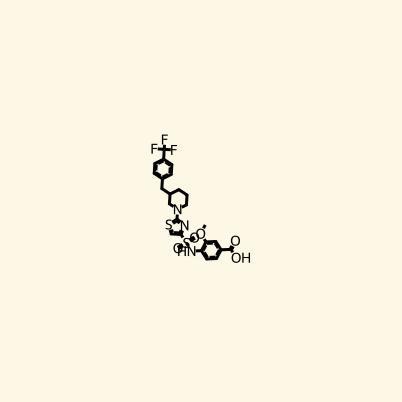 COc1cc(C(=O)O)ccc1NS(=O)(=O)c1csc(N2CCCC(Cc3ccc(C(F)(F)F)cc3)C2)n1